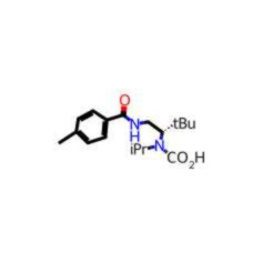 Cc1ccc(C(=O)NC[C@@H](N(C(=O)O)C(C)C)C(C)(C)C)cc1